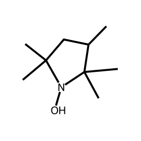 CC1CC(C)(C)N(O)C1(C)C